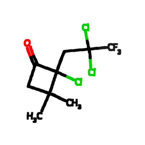 CC1(C)CC(=O)C1(Cl)CC(Cl)(Cl)C(F)(F)F